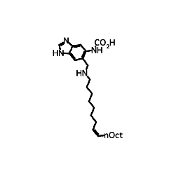 CCCCCCCC/C=C\CCCCCCCNCc1cc2[nH]cnc2cc1NC(=O)O